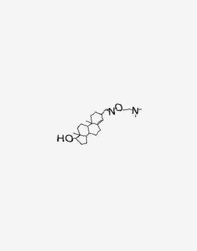 CN(C)CCON=CC1C=C2CCC3C(CCC4(C)C(O)CCC34)C2(C)CC1